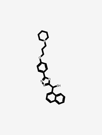 SC(c1nnc(-c2ccc(OCCCN3CCCCC3)cc2)o1)c1cccc2ccccc12